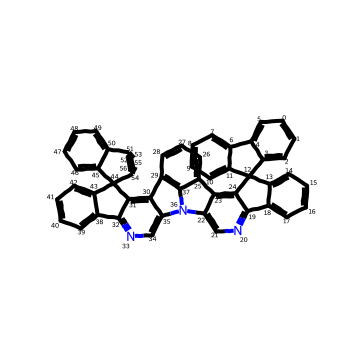 c1ccc2c(c1)-c1ccccc1C21c2ccccc2-c2ncc3c(c21)c1cccc2c4c5c(ncc4n3c12)-c1ccccc1C51c2ccccc2-c2ccccc21